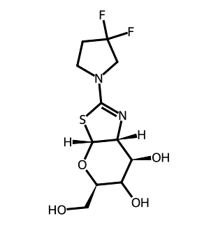 OC[C@H]1O[C@@H]2SC(N3CCC(F)(F)C3)=N[C@@H]2[C@@H](O)C1O